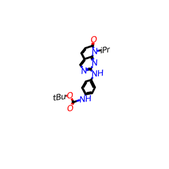 CC(C)n1c(=O)ccc2cnc(Nc3ccc(NC(=O)OC(C)(C)C)cc3)nc21